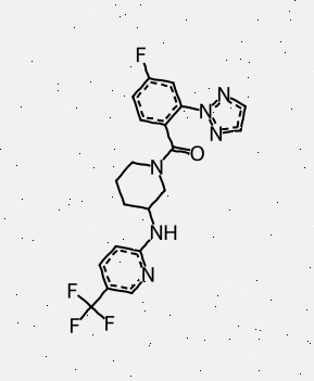 O=C(c1ccc(F)cc1-n1nccn1)N1CCCC(Nc2ccc(C(F)(F)F)cn2)C1